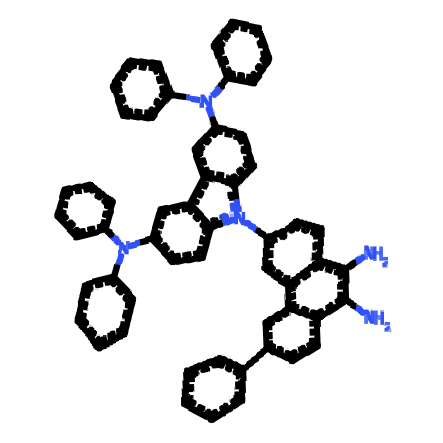 Nc1c(N)c2ccc(-n3c4ccc(N(c5ccccc5)c5ccccc5)cc4c4cc(N(c5ccccc5)c5ccccc5)ccc43)cc2c2cc(-c3ccccc3)ccc12